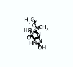 CCON(C)c1nc2nc(O)[nH]c2c(=O)n1O